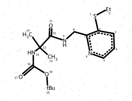 CCSc1cccnc1CNC(=O)C(C)(C)NC(=O)OC(C)(C)C